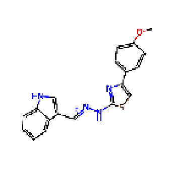 COc1ccc(-c2csc(N/N=C/c3c[nH]c4ccccc34)n2)cc1